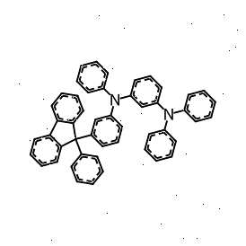 c1ccc(N(c2ccccc2)c2cccc(N(c3ccccc3)c3cccc(C4(c5ccccc5)c5ccccc5-c5ccccc54)c3)c2)cc1